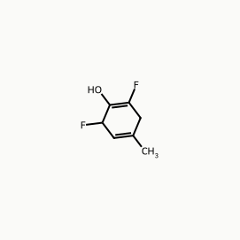 CC1=CC(F)C(O)=C(F)C1